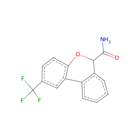 NC(=O)C1Oc2ccc(C(F)(F)F)cc2-c2ccccc21